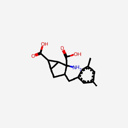 Cc1cc(C)cc(CC2CC3C(C(=O)O)C3C2(N)C(=O)O)c1